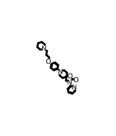 O=C1OC2(CCN(c3ccc(OCCCN4CCCCC4)cc3)CC2)CN1c1ccccn1